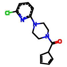 O=C(C1C=CC=C1)N1CCN(c2cccc(Cl)n2)CC1